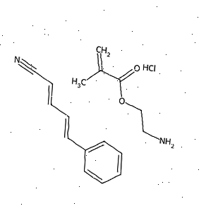 C=C(C)C(=O)OCCN.Cl.N#CC=CC=Cc1ccccc1